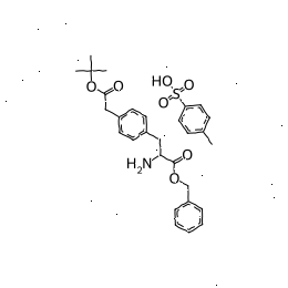 CC(C)(C)OC(=O)Cc1ccc(CC(N)C(=O)OCc2ccccc2)cc1.Cc1ccc(S(=O)(=O)O)cc1